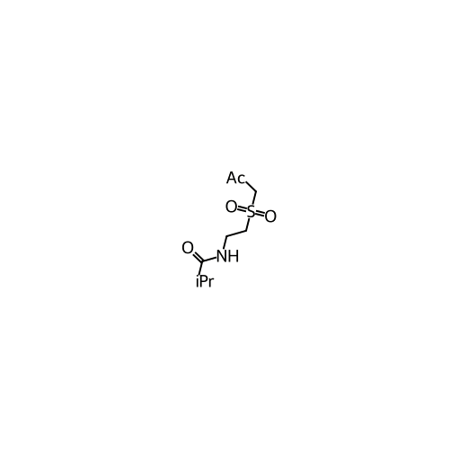 CC(=O)CS(=O)(=O)CCNC(=O)C(C)C